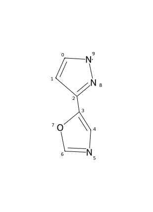 C1=CC(c2cnco2)=N[N]1